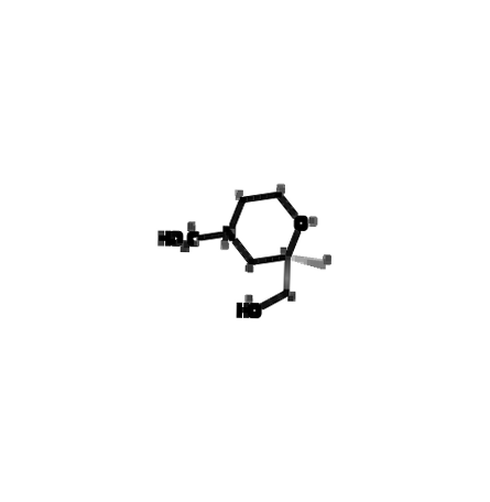 C[C@]1(CO)CN(C(=O)O)CCO1